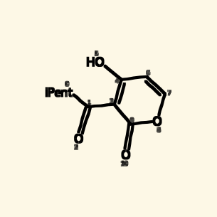 CCCC(C)C(=O)c1c(O)ccoc1=O